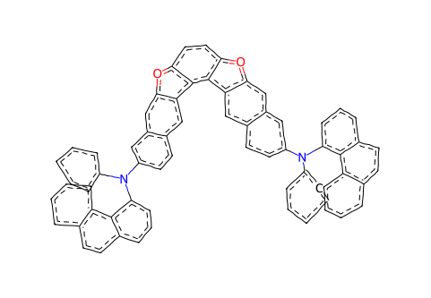 c1ccc(N(c2ccc3cc4c(cc3c2)oc2ccc3oc5cc6cc(N(c7ccccc7)c7cccc8ccc9ccccc9c78)ccc6cc5c3c24)c2cccc3ccc4ccccc4c23)cc1